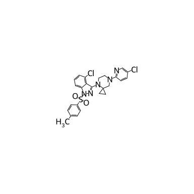 Cc1ccc(S(=O)(=O)n2nc(N3CCN(c4ccc(Cl)cn4)CC34CC4)c3c(Cl)cccc32)cc1